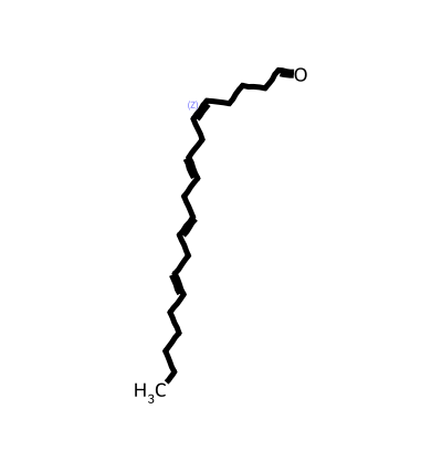 CCCCCC=CCC=CCC=CC/C=C\CCCC=O